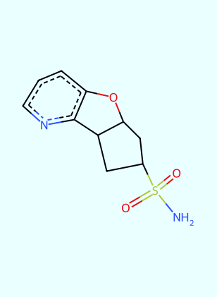 NS(=O)(=O)C1CC2Oc3cccnc3C2C1